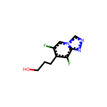 OCCCc1c(F)cn2cnnc2c1F